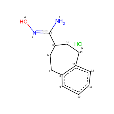 Cl.N/C(=N\O)C1CCc2ccccc2CC1